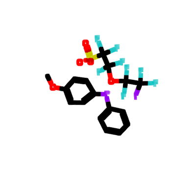 COc1ccc([I+]c2ccccc2)cc1.O=S(=O)([O-])C(F)(F)C(F)(F)OC(F)(F)C(F)(F)I